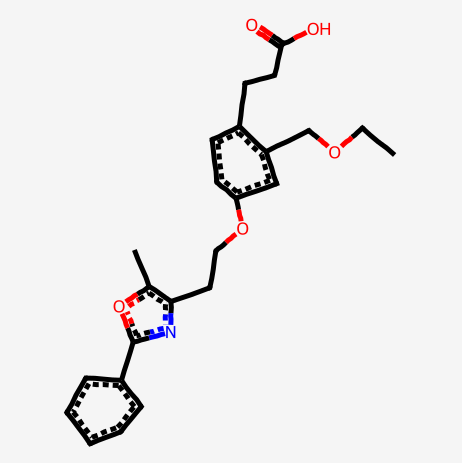 CCOCc1cc(OCCc2nc(-c3ccccc3)oc2C)ccc1CCC(=O)O